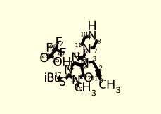 CC#CCn1c(N2CCNCC2)nc2nc(SC(C)CC)n(C)c(=O)c21.O=C(O)C(F)(F)F